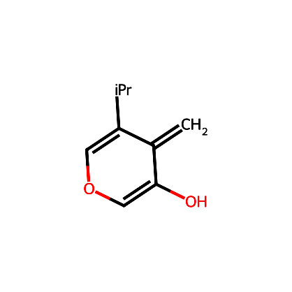 C=C1C(O)=COC=C1C(C)C